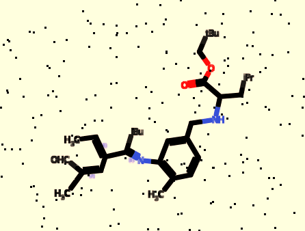 C/C=C(\C=C(\C)C=O)C(=N/c1cc(CNC(CC(C)C)C(=O)OCC(C)(C)C)ccc1C)/C(C)CC